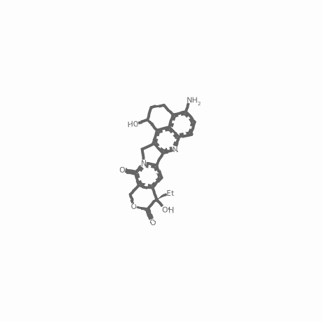 CC[C@@]1(O)C(=O)OCc2c1cc1n(c2=O)Cc2c-1nc1ccc(N)c3c1c2C(O)CC3